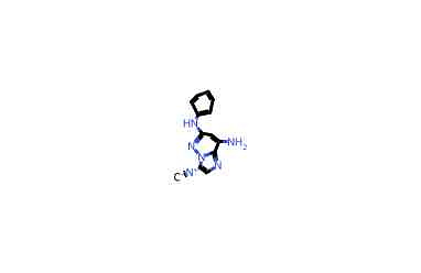 [C-]#[N+]c1cnc2c(N)cc(Nc3ccccc3)nn12